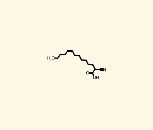 CCCC/C=C\CCCCCCC(C#N)C(=O)O